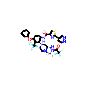 CN1CCN(c2c(NC(=O)c3csc(-c4ccnnc4)n3)ccc(Oc3ccccc3)c2C(F)(F)F)C[C@@H]1CNC(=O)C(F)(F)F